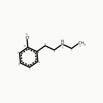 CCNCCc1ccccc1Cl